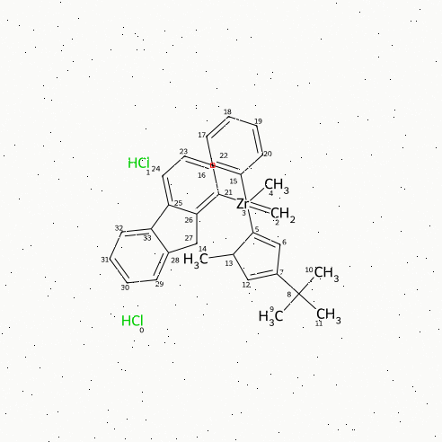 Cl.Cl.[CH2]=[Zr]([CH3])([C]1=CC(C(C)(C)C)=CC1C)([c]1ccccc1)[c]1cccc2c1Cc1ccccc1-2